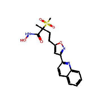 CC(CCc1cc(-c2ccc3ccccc3n2)no1)(C(=O)NO)S(C)(=O)=O